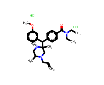 C=CCN1CC(C)(C(c2ccc(C(=O)N(CC)CC)cc2)c2cccc(OC)c2)N(C)CC1C.Cl.Cl